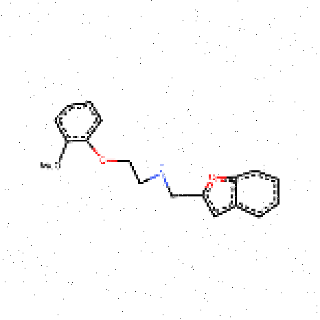 COc1ccccc1OCCNCc1cc2ccccc2o1